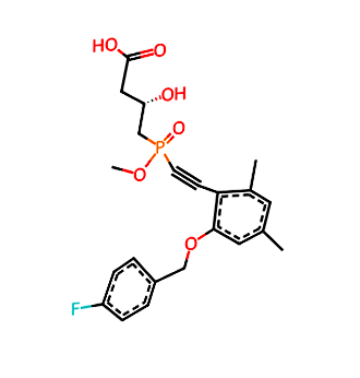 COP(=O)(C#Cc1c(C)cc(C)cc1OCc1ccc(F)cc1)C[C@@H](O)CC(=O)O